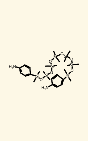 C[Si](C)(O[Si](C)(C)O[Si](C)(C)O[Si](C)(C)c1ccc(N)cc1)O[Si](C)(C)O[Si](C)(C)O[Si](C)(C)c1ccc(N)cc1